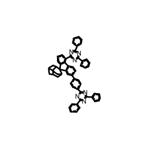 c1ccc(-c2nc(-c3ccccc3)nc(-c3ccc(-c4ccc5c(c4)C4(c6cccc(-c7nc(-c8ccccc8)nc(-c8ccccc8)n7)c6-5)C5CC6CC(C5)CC4C6)cc3)n2)cc1